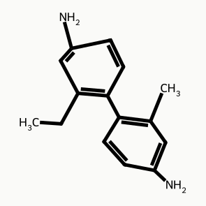 CCc1cc(N)ccc1-c1ccc(N)cc1C